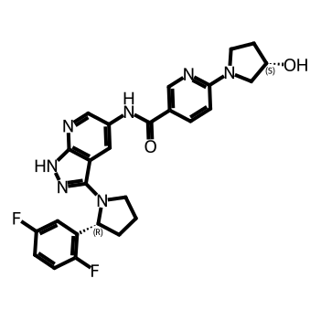 O=C(Nc1cnc2[nH]nc(N3CCC[C@@H]3c3cc(F)ccc3F)c2c1)c1ccc(N2CC[C@H](O)C2)nc1